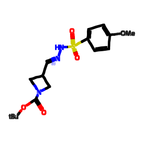 COc1ccc(S(=O)(=O)N/N=C/C2CN(C(=O)OC(C)(C)C)C2)cc1